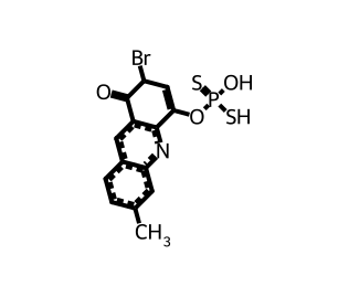 Cc1ccc2cc3c(nc2c1)C(OP(O)(=S)S)=CC(Br)C3=O